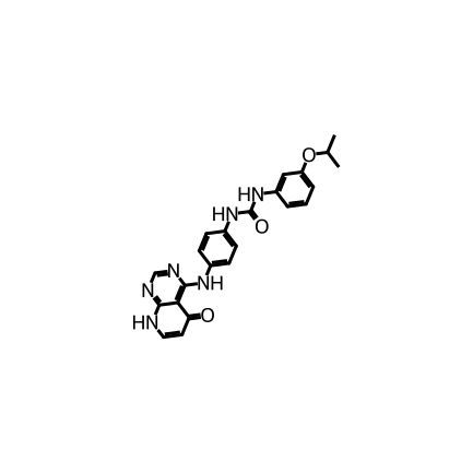 CC(C)Oc1cccc(NC(=O)Nc2ccc(Nc3ncnc4[nH]ccc(=O)c34)cc2)c1